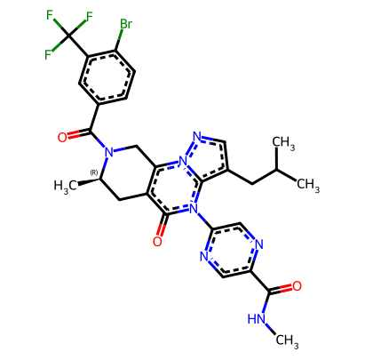 CNC(=O)c1cnc(-n2c(=O)c3c(n4ncc(CC(C)C)c24)CN(C(=O)c2ccc(Br)c(C(F)(F)F)c2)[C@H](C)C3)cn1